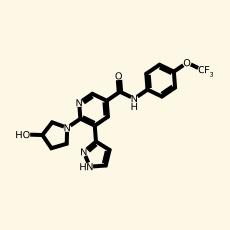 O=C(Nc1ccc(OC(F)(F)F)cc1)c1cnc(N2CCC(O)C2)c(-c2cc[nH]n2)c1